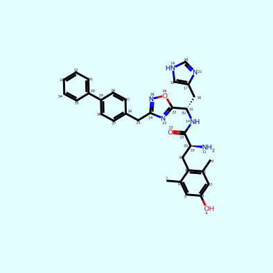 Cc1cc(O)cc(C)c1C[C@H](N)C(=O)N[C@@H](Cc1c[nH]cn1)c1nc(Cc2ccc(-c3ccccc3)cc2)no1